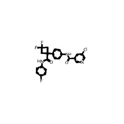 O=C(Nc1ccc(C2(C(=O)Nc3ccc(F)cc3)CC(F)(F)C2)cc1)c1cncc(Cl)c1